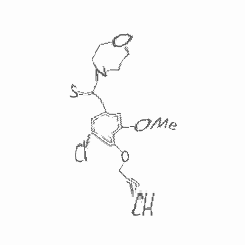 C#CCOc1c(Cl)cc(C(=S)N2CCOCC2)cc1OC